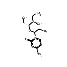 CC[C@@H](O)[C@@H](CO)OC(CO)n1ccc(N)nc1=O